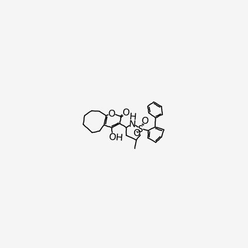 CC(C)CC(NS(=O)(=O)c1ccccc1-c1ccccc1)c1c(O)c2c(oc1=O)CCCCCC2